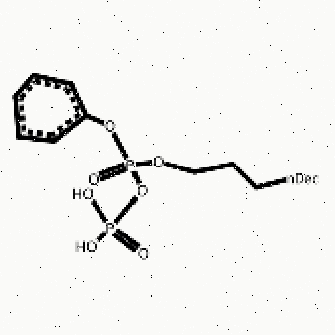 CCCCCCCCCCCCCOP(=O)(Oc1ccccc1)OP(=O)(O)O